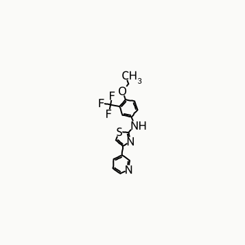 CCOc1ccc(Nc2nc(-c3cccnc3)cs2)cc1C(F)(F)F